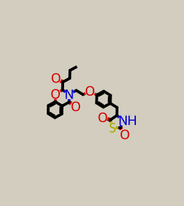 CCCC(=O)C1Oc2ccccc2C(=O)N1CCOc1ccc(CC2NC(=O)SC2=O)cc1